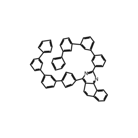 c1ccc(-c2cccc(-c3cccc(-c4ccc(-c5nc(-c6cccc(-c7cccc(-c8cccc(-c9ccccc9)c8)c7)c6)nc6c5ccc5ccccc56)cc4)c3)c2)cc1